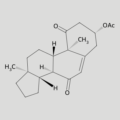 CC(=O)O[C@H]1CC(=O)[C@@]2(C)C(=CC(=O)[C@H]3[C@@H]4CCC[C@@]4(C)CC[C@@H]32)C1